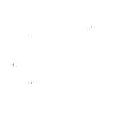 Cc1c(C(=O)O)c(O)c2ccccc2c1O